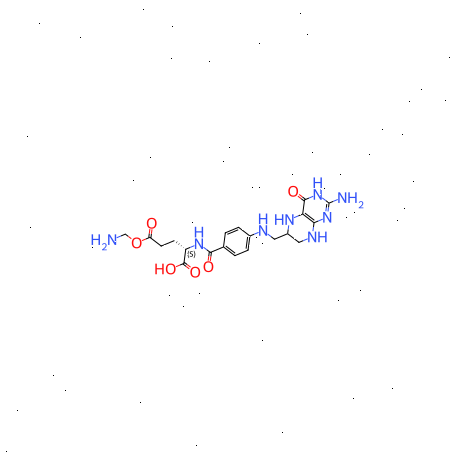 NCOC(=O)CC[C@H](NC(=O)c1ccc(NCC2CNc3nc(N)[nH]c(=O)c3N2)cc1)C(=O)O